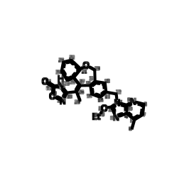 CCOc1nc2c(C)ccnc2n1Cc1ccc2c(c1)COc1ccccc1/C2=C(/C)c1noc(=O)[nH]1